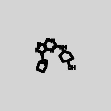 OC1CCC(Nc2ncc3nnn(C4CC5CCC4C5)c3n2)CC1